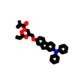 C=CC(=O)OC(COC(=O)C(=C)C)COc1ccc2c(c1)Cc1cc(N(c3ccccc3)c3ccccc3)ccc1-2